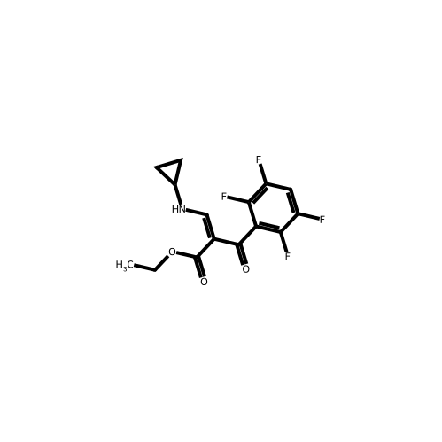 CCOC(=O)C(=CNC1CC1)C(=O)c1c(F)c(F)cc(F)c1F